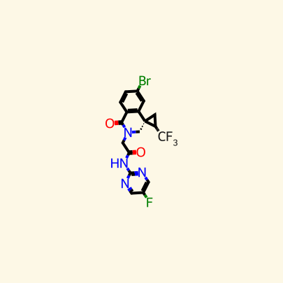 O=C(CN1C[C@@]2(CC2C(F)(F)F)c2cc(Br)ccc2C1=O)Nc1ncc(F)cn1